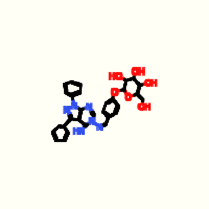 N=c1c2c(-c3ccccc3)nn(-c3ccccc3)c2ncn1/N=C\c1ccc(OC2OC(CO)C(O)C(O)C2O)cc1